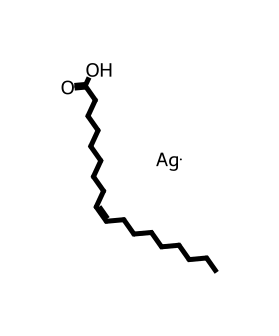 CCCCCCCC/C=C\CCCCCCCC(=O)O.[Ag]